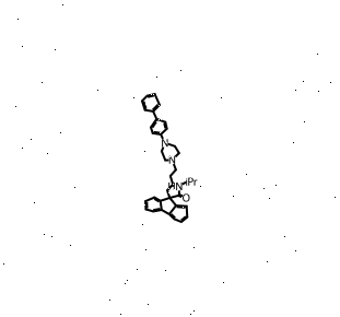 CC(C)NC(=O)C1(CCCCN2CCN(c3ccc(-c4ccccc4)cc3)CC2)c2ccccc2-c2ccccc21